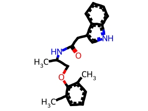 Cc1cccc(C)c1OCC(C)NC(=O)Cc1c[nH]c2ccccc12